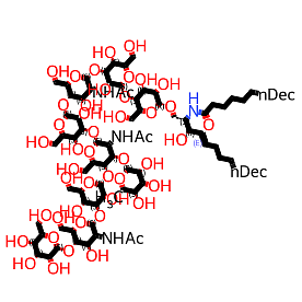 CCCCCCCCCCCCC/C=C/[C@@H](O)[C@H](CO[C@@H]1OC(CO)[C@@H](O[C@@H]2OC(CO)[C@H](O)[C@H](O[C@@H]3OC(CO)[C@@H](O[C@@H]4OC(CO)[C@H](O)[C@H](O[C@@H]5OC(CO)[C@@H](O[C@@H]6OC(CO)[C@H](O)[C@H](O[C@@H]7OC(CO)[C@@H](O[C@@H]8OC(CO)[C@H](O)[C@H](O)C8O)[C@H](O)C7NC(C)=O)C6O)[C@H](O[C@H]6OC(C)[C@@H](O)C(O)[C@@H]6O)C5NC(C)=O)C4O)[C@H](O)C3NC(C)=O)C2O)[C@H](O)C1O)NC(=O)CCCCCCCCCCCCCCC